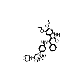 CCOc1cc2c(cc1OCC)C(=C(Nc1ccc(N(CC(=O)N3CCOCC3)S(C)(=O)=O)cc1)c1ccccc1)C(=O)N2